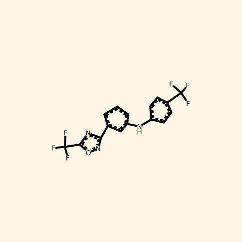 FC(F)(F)c1ccc(Nc2cccc(-c3noc(C(F)(F)F)n3)c2)cc1